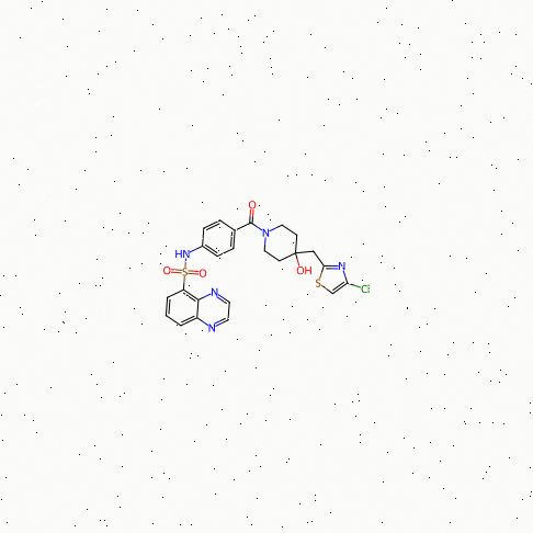 O=C(c1ccc(NS(=O)(=O)c2cccc3nccnc23)cc1)N1CCC(O)(Cc2nc(Cl)cs2)CC1